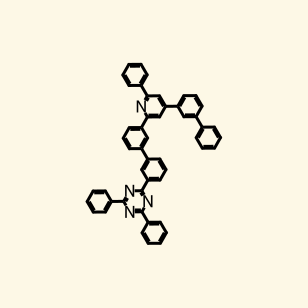 c1ccc(-c2cccc(-c3cc(-c4ccccc4)nc(-c4cccc(-c5cccc(-c6nc(-c7ccccc7)nc(-c7ccccc7)n6)c5)c4)c3)c2)cc1